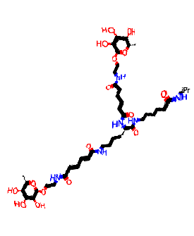 CC(C)NC(=O)CCCCCNC(=O)[C@H](CCCCNC(=O)CCCCC(=O)NCCO[C@@H]1O[C@@H](C)[C@@H](O)[C@@H](O)[C@@H]1O)NC(=O)CCCCC(=O)NCCO[C@@H]1O[C@@H](C)[C@@H](O)[C@@H](O)[C@@H]1O